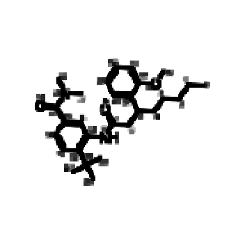 CCCCCC(CC(=O)Nc1cc(C(=O)N(C)C)ccc1C(C)(C)C)c1ccccc1OC